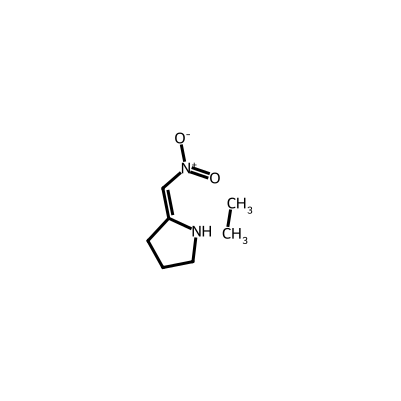 CC.O=[N+]([O-])C=C1CCCN1